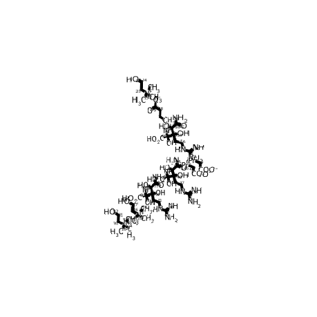 CC(C)CC(=O)[O-].CC(C)CC(=O)[O-].CCCC(=O)[O-].C[N+](C)(C)CCO.C[N+](C)(C)CCO.C[N+](C)(C)CCO.N=C(N)NCCC(O)(C(O)C(N)=O)[C@@](N)(O)C(=O)O.N=C(N)NCCC(O)(C(O)C(N)=O)[C@@](N)(O)C(=O)O.N=C(N)NCCC(O)(C(O)C(N)=O)[C@@](N)(O)C(=O)O